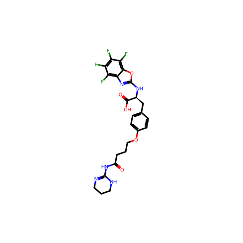 O=C(CCCOc1ccc(C[C@H](Nc2nc3c(F)c(F)c(F)c(F)c3o2)C(=O)O)cc1)NC1=NCCCN1